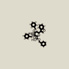 OC(OCc1ccccc1)[C@H]1OC(c2coc3ccccc23)=C[C@](O)(OCc2ccccc2)[C@@]1(O)OCc1ccccc1